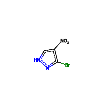 O=[N+]([O-])c1c[nH]nc1Br